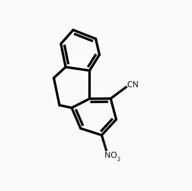 N#Cc1cc([N+](=O)[O-])cc2c1-c1ccccc1CC2